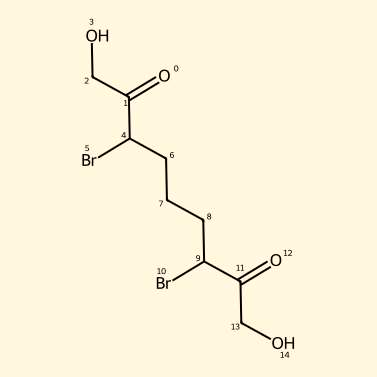 O=C(CO)C(Br)CCCC(Br)C(=O)CO